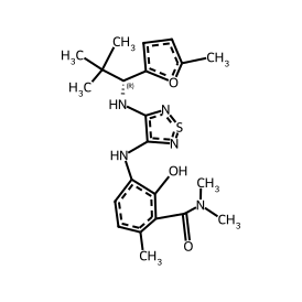 Cc1ccc([C@H](Nc2nsnc2Nc2ccc(C)c(C(=O)N(C)C)c2O)C(C)(C)C)o1